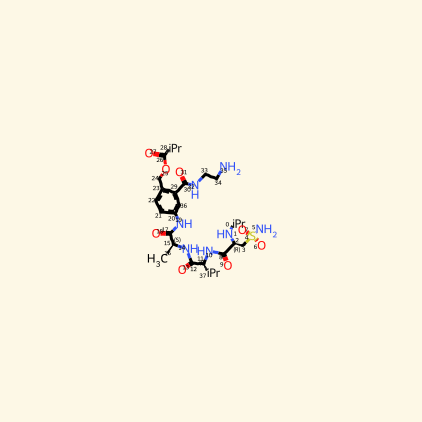 CC(C)N[C@@H](CS(N)(=O)=O)C(=O)N[C@H](C(=O)N[C@@H](C)C(=O)Nc1ccc(COC(=O)C(C)C)c(C(=O)NCCN)c1)C(C)C